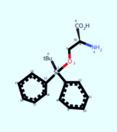 CC(C)(C)[Si](OC[C@H](N)C(=O)O)(c1ccccc1)c1ccccc1